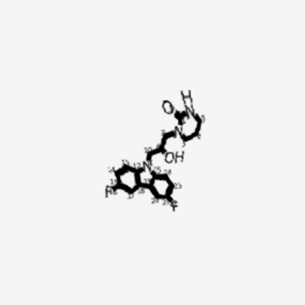 O=C1NCCCN1CC(O)Cn1c2ccc(F)cc2c2cc(F)ccc21